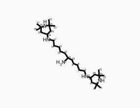 CC1(C)CC(NCCCCCC(N)CCCCCNC2CC(C)(C)NC(C)(C)C2)CC(C)(C)N1